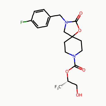 O=C(O[C@H](CO)C(F)(F)F)N1CCC2(CC1)CN(Cc1ccc(F)cc1)C(=O)O2